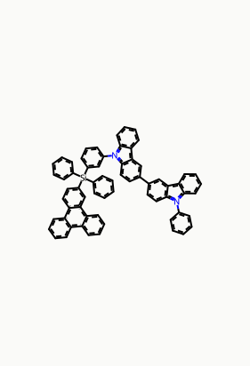 c1ccc(-n2c3ccccc3c3cc(-c4ccc5c(c4)c4ccccc4n5-c4cccc([Si](c5ccccc5)(c5ccccc5)c5ccc6c7ccccc7c7ccccc7c6c5)c4)ccc32)cc1